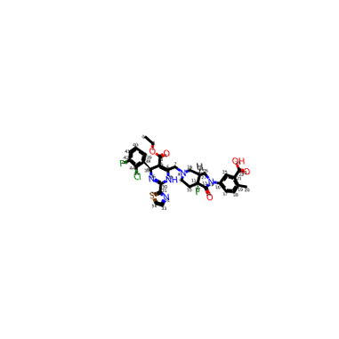 CCOC(=O)C1=C(CN2CC[C@]3(F)C(=O)N(c4ccc(C)c(C(=O)O)c4)C[C@@H]3C2)NC(c2nccs2)=N[C@H]1c1cccc(F)c1Cl